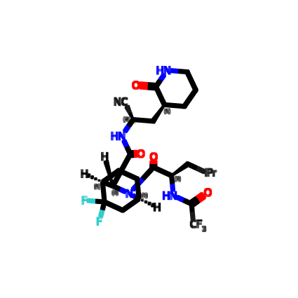 CC(C)C[C@@H](NC(=O)C(F)(F)F)C(=O)N1[C@H]2CC[C@@H]([C@@H]1C(=O)N[C@@H](C#N)C[C@@H]1CCCNC1=O)C(F)(F)C2